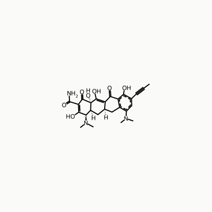 CC#Cc1cc(N(C)C)c2c(c1O)C(=O)C1=C(O)[C@]3(O)C(=O)C(C(N)=O)=C(O)[C@H](N(C)C)[C@@H]3C[C@@H]1C2